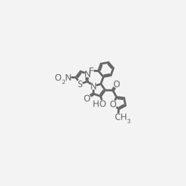 Cc1ccc(C(=O)C2=C(O)C(=O)N(c3ncc([N+](=O)[O-])s3)C2c2ccccc2F)o1